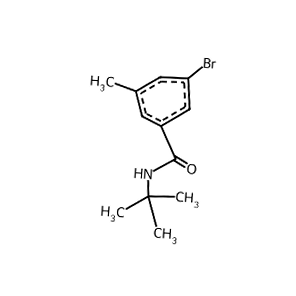 Cc1cc(Br)cc(C(=O)NC(C)(C)C)c1